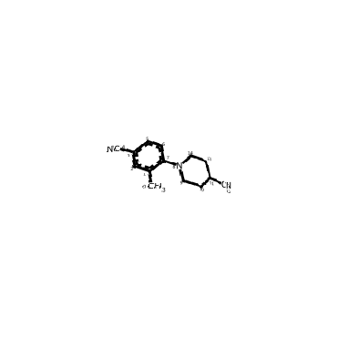 Cc1cc(C#N)ccc1N1CCC(C#N)CC1